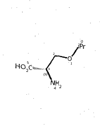 CC(C)OC[C@H](N)C(=O)O